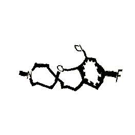 CN1CCC2(CCc3cc(F)cc(Cl)c3O2)CC1